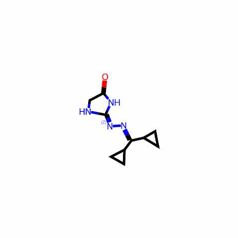 O=C1CN/C(=N/N=C(C2CC2)C2CC2)N1